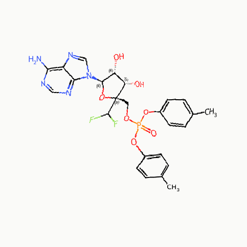 Cc1ccc(OP(=O)(OC[C@@]2(C(F)F)O[C@@H](n3cnc4c(N)ncnc43)[C@H](O)[C@@H]2O)Oc2ccc(C)cc2)cc1